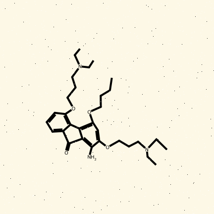 CCCCOc1cc(OCCCN(CC)CC)c(N)c2c1-c1c(OCCCN(CC)CC)cccc1C2=O